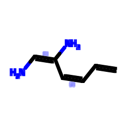 C=C/C=C\C(N)=C/N